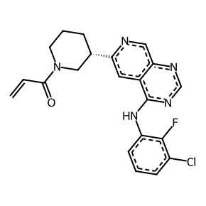 C=CC(=O)N1CCC[C@H](c2cc3c(Nc4cccc(Cl)c4F)ncnc3cn2)C1